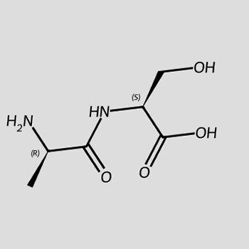 C[C@@H](N)C(=O)N[C@@H](CO)C(=O)O